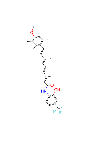 COc1cc(C)c(/C=C/C(C)=C/C=C/C(C)=C/C(=O)Nc2ccc(C(F)(F)F)cc2O)c(C)c1C